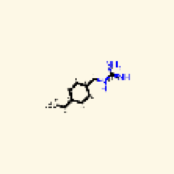 CC(C)(C)CC1CCC(CNC(=N)N)CC1